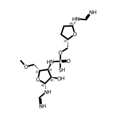 COC[C@H]1O[C@@H](NC=N)[C@H](O)[C@@H]1NP(=O)(S)OC[C@@H]1CC[C@H](NC=N)O1